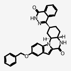 O=C1N[C@H]2CC[C@H](c3n[nH]c(=O)c4ccccc34)C[C@@H]2n2c1cc1cc(OCc3ccccc3)ccc12